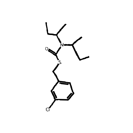 CCC(C)N(C(=O)SCc1cccc(Cl)c1)C(C)CC